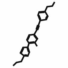 CCCc1ccc(C#Cc2ccc(-c3ccc(CCC)cc3)c(C)c2)cc1